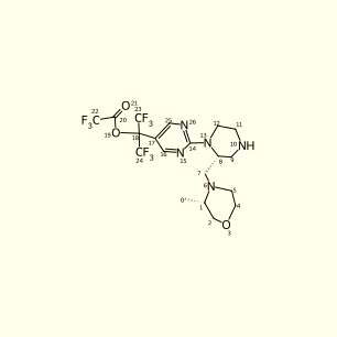 C[C@H]1COCCN1C[C@H]1CNCCN1c1ncc(C(OC(=O)C(F)(F)F)(C(F)(F)F)C(F)(F)F)cn1